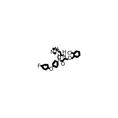 O=C(Cn1cncn1)NC(COCc1ccccc1Cl)C(=O)Nc1ccc(Oc2ccc(F)cc2)cc1